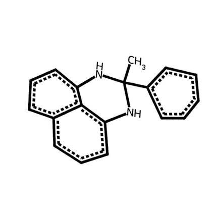 CC1(c2ccccc2)Nc2cccc3cccc(c23)N1